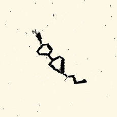 CCC[C@H](C)c1ccc(-c2ccc(C#N)cc2)cc1